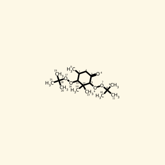 CC1CC(=O)C(OOC(C)(C)C)C(C)(C)C1OOC(C)(C)C